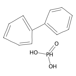 O=[PH](O)O.c1ccc(-c2ccccc2)cc1